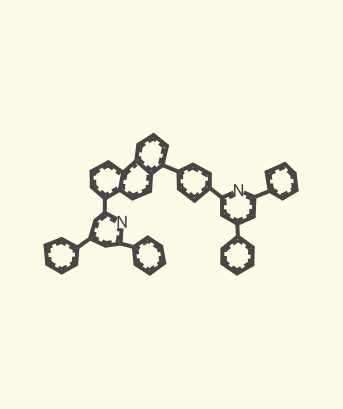 c1ccc(-c2cc(-c3ccccc3)nc(-c3ccc(-c4cccc5c4ccc4c(-c6cc(-c7ccccc7)cc(-c7ccccc7)n6)cccc45)cc3)c2)cc1